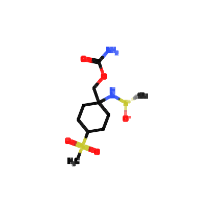 CC(C)(C)[S@+]([O-])NC1(COC(N)=O)CCC(S(C)(=O)=O)CC1